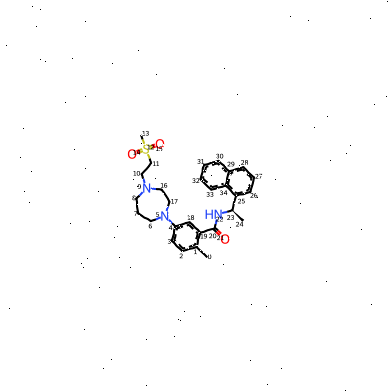 Cc1ccc(N2CCCN(CCS(C)(=O)=O)CC2)cc1C(=O)N[C@H](C)c1cccc2ccccc12